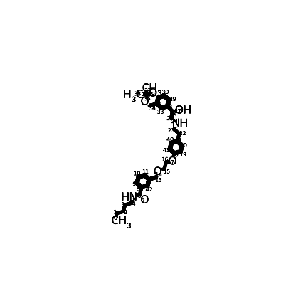 CCCCCNC(=O)c1cccc(COCCOc2ccc(CCNC[C@H](O)c3ccc4c(c3)COC(C)(C)O4)cc2)c1